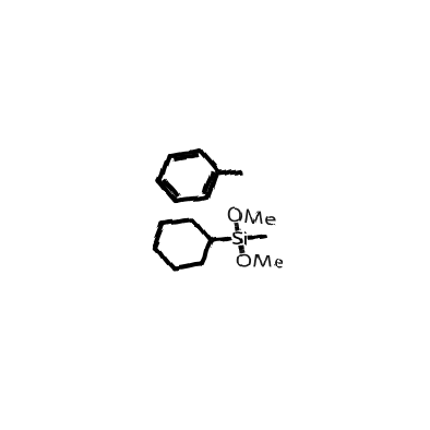 CO[Si](C)(OC)C1CCCCC1.Cc1ccccc1